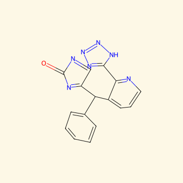 O=C1N=CC(C(c2ccccc2)c2cccnc2-c2nnn[nH]2)=N1